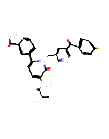 CNC(=O)c1cccc(-c2ccc(NC(=O)[C@H](C)NC)c(=O)n2Cc2cncc(C(=O)c3ccc(F)cc3)c2)c1